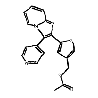 CC(=O)OCc1csc(-c2nc3ccccn3c2-c2ccncc2)c1